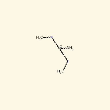 CCCCCCCC/C=C\CCCCCCCCCCCN(CCCCCCCCCCC/C=C\CCCCCCCCC)C(=O)CCCCCN